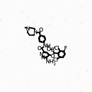 COB(C)C(Oc1cc(C(=O)Nc2ccc(C(=O)N3CCCN(C)CC3)cc2)nnc1N)c1c(Cl)ccc(F)c1Cl